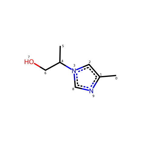 Cc1cn(C(C)CO)cn1